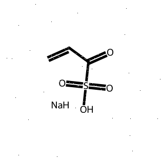 C=CC(=O)S(=O)(=O)O.[NaH]